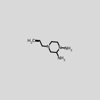 C=CCN1CCN(N)C(N)C1